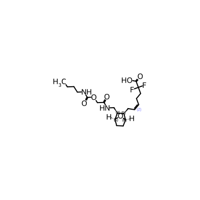 CCCCNC(=O)OCC(=O)NC[C@H]1[C@@H](C/C=C\CCC(F)(F)C(=O)O)[C@H]2CC[C@@H]1O2